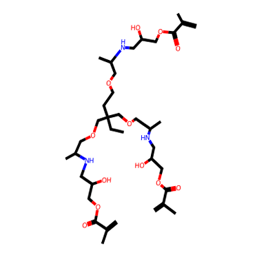 C=C(C)C(=O)OCC(O)CNC(C)COCCC(CC)(COCC(C)NCC(O)COC(=O)C(=C)C)COCC(C)NCC(O)COC(=O)C(=C)C